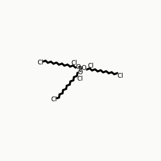 ClCCCCCCCCCCC(Cl)COP(OCC(Cl)CCCCCCCCCCCl)OCC(Cl)CCCCCCCCCCCl